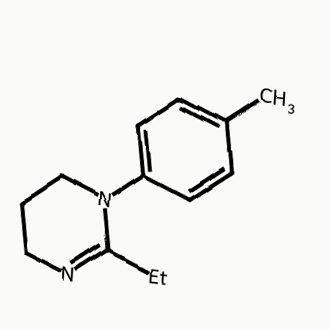 CCC1=NCCCN1c1ccc(C)cc1